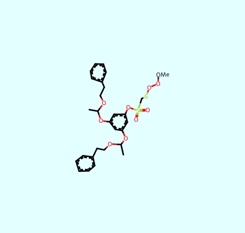 COOOSCS(=O)(=O)Oc1cc(OC(C)OCCc2ccccc2)cc(OC(C)OCCc2ccccc2)c1